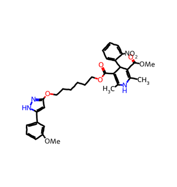 COC(=O)C1=C(C)NC(C)=C(C(=O)OCCCCCCOc2cc(-c3cccc(OC)c3)[nH]n2)C1c1ccccc1[N+](=O)[O-]